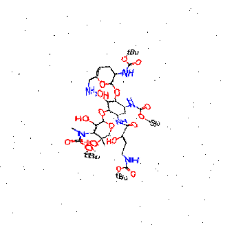 CN(C(=O)OC(C)(C)C)C1C(O)C(OC2C(NC(=O)C(O)CCNC(=O)OC(C)(C)C)CC(NC(=O)OC(C)(C)C)C(OC3OC(CN)=CCC3NC(=O)OC(C)(C)C)C2O)OCC1(C)O